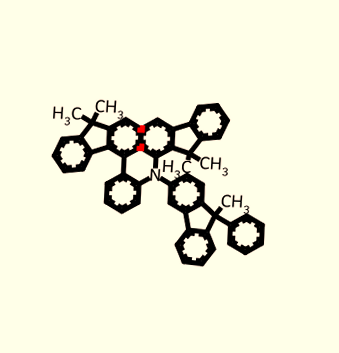 CC1(C)c2ccccc2-c2c(-c3ccccc3N(c3ccc4c(c3)-c3ccccc3C4(C)c3ccccc3)c3cccc4c3C(C)(C)c3ccccc3-4)cccc21